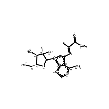 COC(=O)/C(C)=C/c1cn(C2O[C@H](CO)[C@@H](O)[C@@]2(C)O)c2ncnc(N)c12